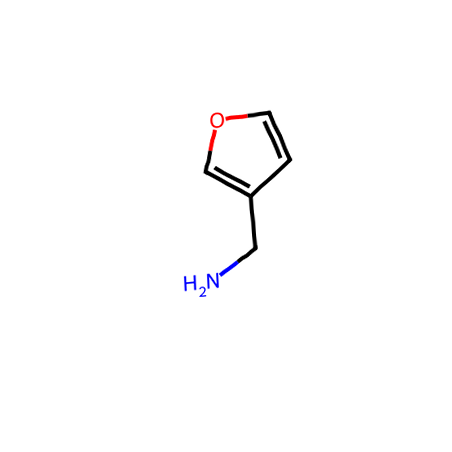 NCc1ccoc1